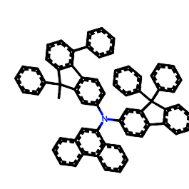 CC1(c2ccccc2)c2cc(N(c3ccc4c(c3)C(c3ccccc3)(c3ccccc3)c3ccccc3-4)c3cc4ccccc4c4ccccc34)ccc2-c2c(-c3ccccc3)cccc21